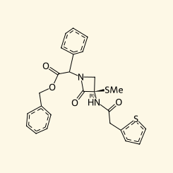 CS[C@]1(NC(=O)Cc2cccs2)CN(C(C(=O)OCc2ccccc2)c2ccccc2)C1=O